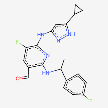 CC(Nc1nc(Nc2cc(C3CC3)[nH]n2)c(F)cc1C=O)c1ccc(F)cc1